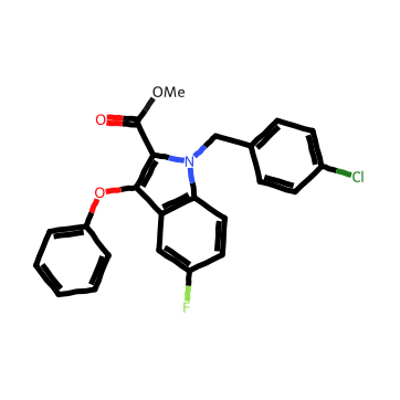 COC(=O)c1c(Oc2ccccc2)c2cc(F)ccc2n1Cc1ccc(Cl)cc1